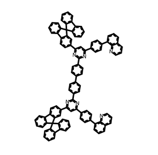 c1ccc2c(c1)-c1ccccc1C21c2ccccc2-c2ccc(-c3cc(-c4ccc(-c5cccc6cccnc56)cc4)nc(-c4ccc(-c5ccc(-c6nc(-c7ccc(-c8cccc9cccnc89)cc7)cc(-c7ccc8c(c7)C7(c9ccccc9-c9ccccc97)c7ccccc7-8)n6)cc5)cc4)n3)cc21